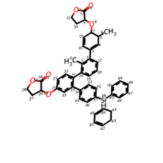 Cc1c(C2=CC(C)C(OC3CCOC3=O)C=C2)cccc1-c1ccc(OC2CCOC2=O)cc1-c1ccc([SiH](C2=CC=CCC2)c2ccccc2)cc1